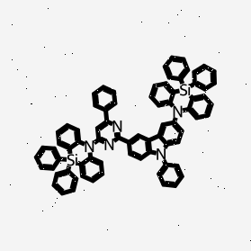 c1ccc(-c2cc(N3c4ccccc4[Si](c4ccccc4)(c4ccccc4)c4ccccc43)nc(-c3ccc4c(c3)c3cc(N5c6ccccc6[Si](c6ccccc6)(c6ccccc6)c6ccccc65)ccc3n4-c3ccccc3)n2)cc1